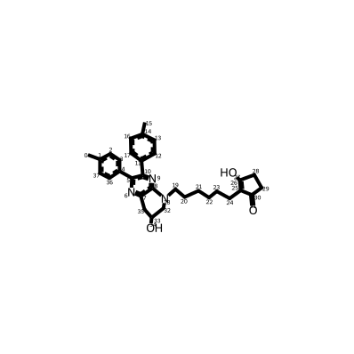 Cc1ccc(-c2nc3c(nc2-c2ccc(C)cc2)N(CCCCCCC2=C(O)CCC2=O)CC(O)C3)cc1